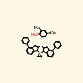 CC(C)(C)c1ccc(O)c(C(C)(C)C)c1.CC1=Cc2c(-c3ccccc3)cccc2[CH]1[Zr]1([CH]2C(C)=Cc3c(-c4ccccc4)cccc32)[CH2][CH2]1